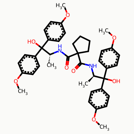 COc1ccc(C(O)(c2ccc(OC)cc2)[C@@H](C)NC(=O)C2(C(=O)N[C@H](C)C(O)(c3ccc(OC)cc3)c3ccc(OC)cc3)CCCC2)cc1